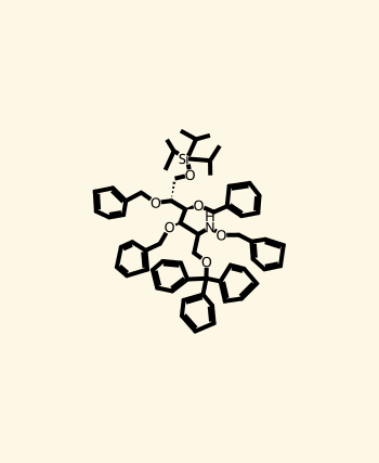 CC(C)[Si](OC[C@@H](OCc1ccccc1)[C@@H](OCc1ccccc1)[C@@H](OCc1ccccc1)C(COC(c1ccccc1)(c1ccccc1)c1ccccc1)NOCc1ccccc1)(C(C)C)C(C)C